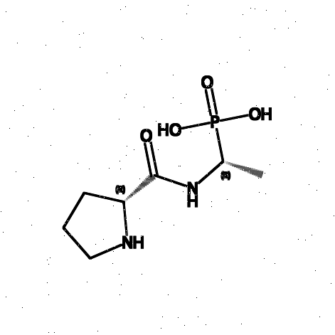 C[C@H](NC(=O)[C@H]1CCCN1)P(=O)(O)O